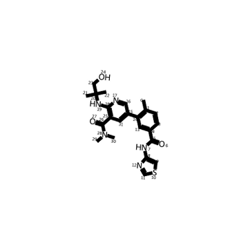 Cc1ccc(C(=O)Nc2cscn2)cc1-c1cnc(NC(C)(C)CO)c(C(=O)N(C)C)c1